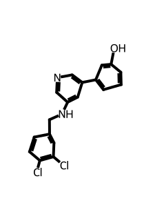 Oc1cccc(-c2cncc(NCc3ccc(Cl)c(Cl)c3)c2)c1